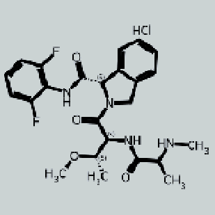 CNC(C)C(=O)N[C@H](C(=O)N1Cc2ccccc2[C@H]1C(=O)Nc1c(F)cccc1F)[C@H](C)OC.Cl